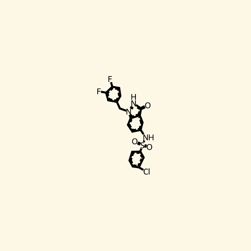 O=c1[nH]n(Cc2ccc(F)c(F)c2)c2ccc(NS(=O)(=O)c3cccc(Cl)c3)cc12